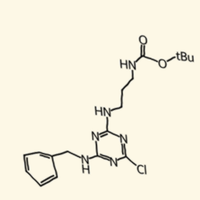 CC(C)(C)OC(=O)NCCCNc1nc(Cl)nc(NCc2ccccc2)n1